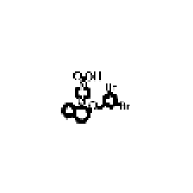 O=C(O)N1CCN([C@@H]2c3ccccc3CCC[C@@H]2OCc2cc(Br)cc(Br)c2)CC1